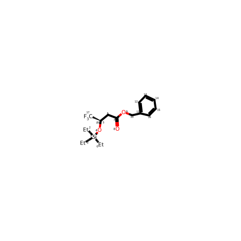 CC[Si](CC)(CC)O[C@H](CC(=O)OCc1ccccc1)C(F)(F)F